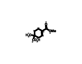 COC(=O)C1=CCC(C)(C(=O)O)CC1